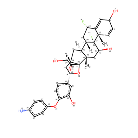 C[C@]12C=CC(O)C=C1[C@@H](F)C[C@H]1[C@@H]3C[C@H]4C[C@@H](c5ccc(Oc6ccc(N)cc6)c(O)c5)O[C@@]4(C(=O)CO)[C@@]3(C)C[C@H](O)[C@@]12F